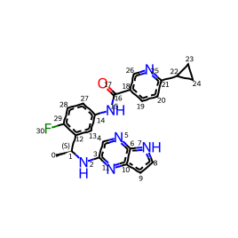 C[C@H](Nc1cnc2[nH]ccc2n1)c1cc(NC(=O)c2ccc(C3CC3)nc2)ccc1F